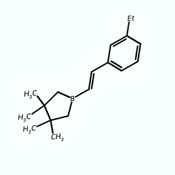 CCc1cccc(/C=C/B2CC(C)(C)C(C)(C)C2)c1